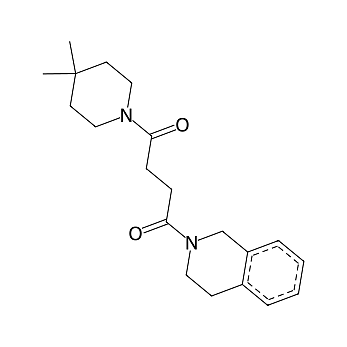 CC1(C)CCN(C(=O)CCC(=O)N2CCc3ccccc3C2)CC1